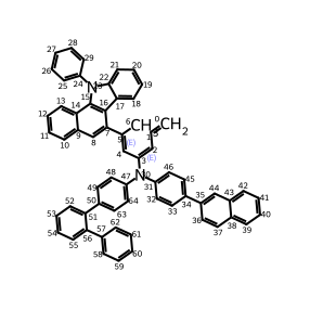 C=C/C=C(\C=C(/C)c1cc2ccccc2c2c1c1ccccc1n2-c1ccccc1)N(c1ccc(-c2ccc3ccccc3c2)cc1)c1ccc(-c2ccccc2-c2ccccc2)cc1